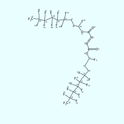 O=C(N=NC(=O)OC(F)CCC(F)(F)C(F)(F)C(F)(F)C(F)(F)C(F)(F)C(F)(F)F)OC(F)CCC(F)(F)C(F)(F)C(F)(F)C(F)(F)C(F)(F)C(F)(F)F